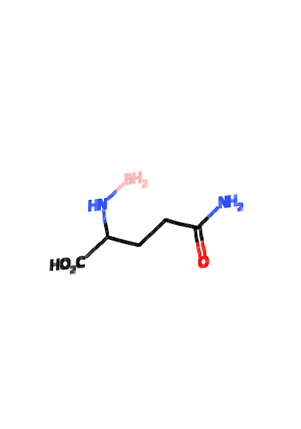 BNC(CCC(N)=O)C(=O)O